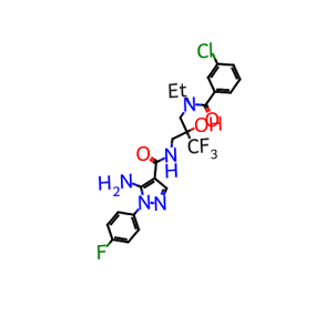 CCN(CC(O)(CNC(=O)c1cnn(-c2ccc(F)cc2)c1N)C(F)(F)F)C(=O)c1cccc(Cl)c1